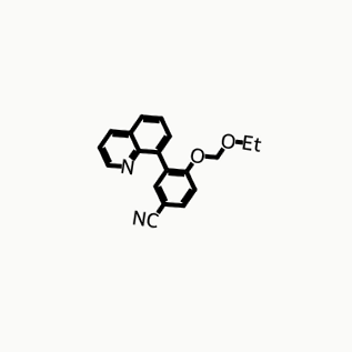 CCOCOc1ccc(C#N)cc1-c1cccc2cccnc12